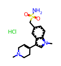 CN1CC=C(c2cn(C)c3ccc(CS(N)(=O)=O)cc23)CC1.Cl